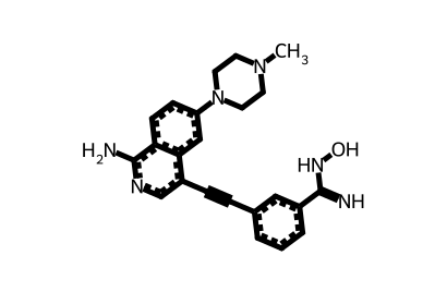 CN1CCN(c2ccc3c(N)ncc(C#Cc4cccc(C(=N)NO)c4)c3c2)CC1